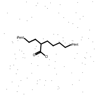 CCCC(C)CCCCC(CCC(C)CCC)C(=O)Cl